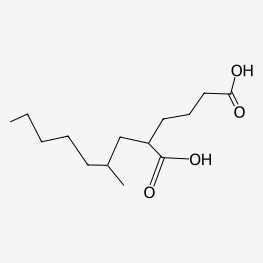 CCCCCC(C)CC(CCCC(=O)O)C(=O)O